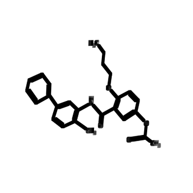 CCCCOc1ccc(OC(C)=O)cc1C(=O)Nc1cc(-c2ccccc2)ccc1C